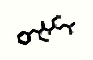 C[S+]([O-])CC[C@@H](CO)NC(=O)[C@H](CS)Cc1ccccc1